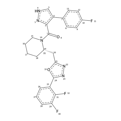 O=C(c1n[nH]cc1-c1ccc(F)cc1)N1CCCC[C@H]1Cc1nnc(-c2cccc(F)c2F)o1